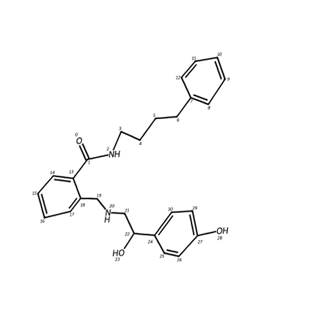 O=C(NCCCCc1ccccc1)c1ccccc1CNCC(O)c1ccc(O)cc1